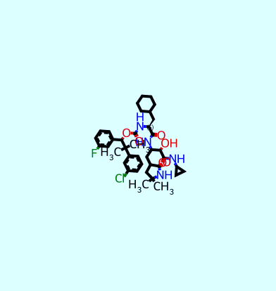 CC1(C)CC(CC(NC(=O)[C@H](CC2CCCCC2)NC(=O)OC(c2cccc(F)c2)C(C)(C)c2cccc(Cl)c2)C(O)C(=O)NC2CC2)C(=O)N1